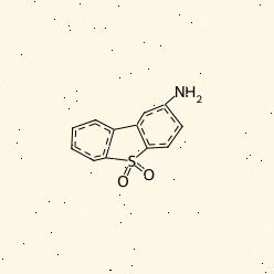 Nc1ccc2c(c1)-c1ccccc1S2(=O)=O